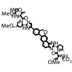 COC[C@H]1C[C@@H](c2ncc(-c3ccc4c(c3)COc3cc5c(ccc6nc([C@@H]7CC[C@H](C)N7C(=O)[C@@H](NC(=O)O)[C@@H](C)OC)[nH]c65)cc3-4)[nH]2)N(C(=O)[C@@H](NC(=O)OC)[C@@H](C)OC)C1